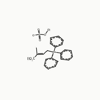 CCOC(=O)C(C)=CC[P+](c1ccccc1)(c1ccccc1)c1ccccc1.CCOS(=O)(=O)[O-]